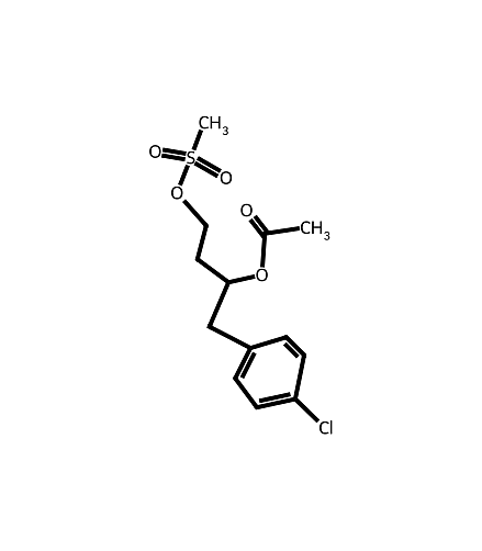 CC(=O)OC(CCOS(C)(=O)=O)Cc1ccc(Cl)cc1